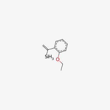 C=C([SiH3])c1ccccc1OCC